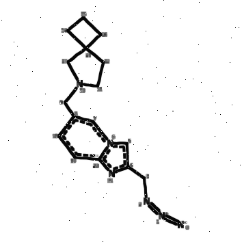 [N-]=[N+]=NCc1cn2cc(CN3CCC4(CCC4)C3)ccc2n1